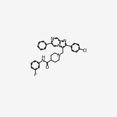 O=C(Nc1cccc(F)c1)C1CCN(Cc2c(-c3ccc(Cl)cc3)nc3cnc(-c4ccccc4)cn23)CC1